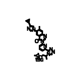 Cc1cc2ncn(-c3cccc(-c4nncn4C(C)CO[Si](C)(C)C(C)(C)C)n3)c(=O)c2cc1-n1cnc(C2CC2)c1